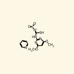 COc1cc(OC)nc(NC(S)=[N+]=S(=O)=O)n1.c1ccncc1